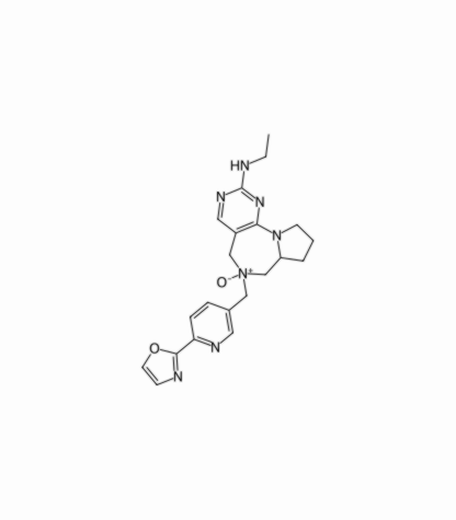 CCNc1ncc2c(n1)N1CCCC1C[N+]([O-])(Cc1ccc(-c3ncco3)nc1)C2